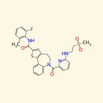 Cc1cccc(F)c1NC(=O)c1cc2c(s1)-c1ccccc1N(C(=O)c1cccc(NCCS(C)(=O)=O)n1)CC2